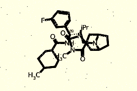 CC1CCC(C(=O)N[C@@H](CCN2C3CCC2CC2(C3)C(=O)N(C)C(=O)N2C(C)C)c2cccc(F)c2)CC1